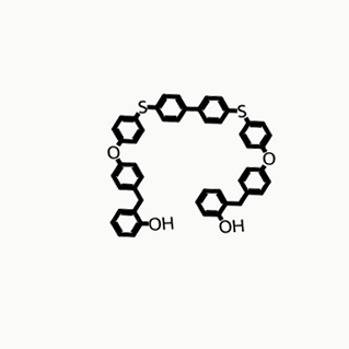 Oc1ccccc1Cc1ccc(Oc2ccc(Sc3ccc(-c4ccc(Sc5ccc(Oc6ccc(Cc7ccccc7O)cc6)cc5)cc4)cc3)cc2)cc1